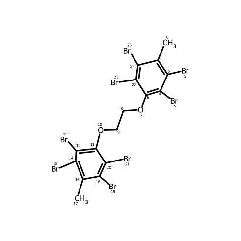 Cc1c(Br)c(Br)c(OCCOc2c(Br)c(Br)c(C)c(Br)c2Br)c(Br)c1Br